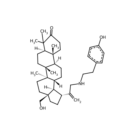 C=C(CNCCc1ccc(O)cc1)[C@@H]1CC[C@]2(CO)CC[C@]3(C)[C@H](CC[C@@H]4[C@@]5(C)CCC(=O)C(C)(C)[C@@H]5CC[C@]43C)[C@@H]12